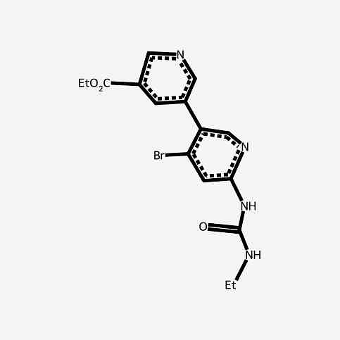 CCNC(=O)Nc1cc(Br)c(-c2cncc(C(=O)OCC)c2)cn1